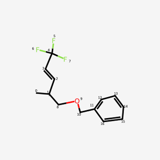 C[C](C=CC(F)(F)F)COCc1ccccc1